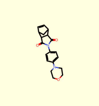 O=C1C2C3C=CC(C3)C2C(=O)N1c1ccc(N2CCOCC2)cc1